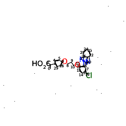 CC(C(=O)O)c1ccc(OCCCOc2ccc(Cl)cc2-n2nc3ccccc3n2)cc1